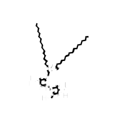 CCCCCCCC=CCC=CCC=CCC(=O)OC[C@H](CO[C@@H]1O[C@H](CO[C@H]2O[C@H](CO)[C@H](O)C(O)C2O)[C@H](O)C(O)C1O)OC(=O)CC=CCC=CCCCCCCCCCC